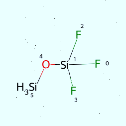 F[Si](F)(F)O[SiH3]